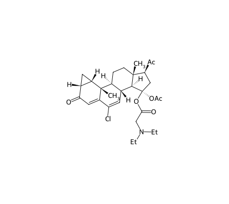 CCN(CC)CC(=O)O[C@]1(OC(C)=O)C[C@H](C(C)=O)[C@@]2(C)CC[C@H]3[C@@H](C=C(Cl)C4=CC(=O)[C@@H]5C[C@@H]5[C@@]43C)[C@H]12